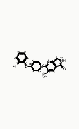 Cc1cc2c(nc1N1CCC(Oc3ccccc3F)CC1)CNC2=O